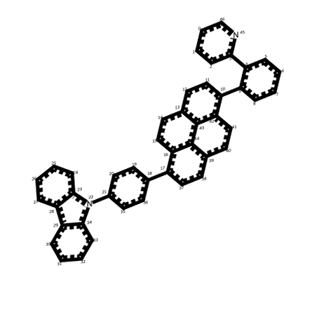 c1ccc(-c2ccccc2-c2ccc3ccc4c(-c5ccc(-n6c7ccccc7c7ccccc76)cc5)ccc5ccc2c3c54)nc1